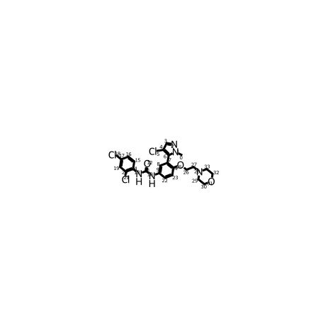 Cn1ncc(Cl)c1-c1cc(NC(=O)Nc2ccc(Cl)cc2Cl)ccc1OCCN1CCOCC1